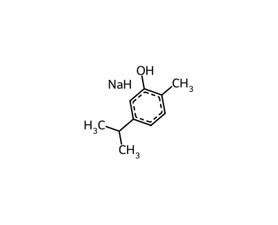 Cc1ccc(C(C)C)cc1O.[NaH]